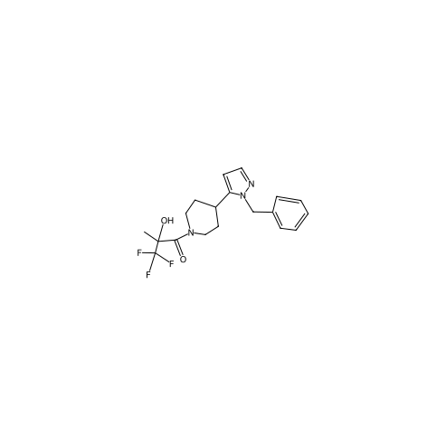 CC(O)(C(=O)N1CCC(c2ccnn2Cc2ccccc2)CC1)C(F)(F)F